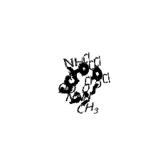 CCCN(CCOc1c(Cl)cc(Cl)cc1Cl)C(=O)n1ccnc1.NCC(c1ccc(Cl)c(Cl)c1)N1CCC2(CC1)OCCO2